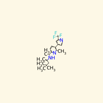 C=C(CC(C)(C)C)NC(C)c1ccc(-c2ccnc(C(F)(F)F)c2)c(C)n1